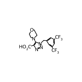 O=C(O)c1nnn(Cc2cc(C(F)(F)F)cc(C(F)(F)F)c2)c1N1CCOCC1